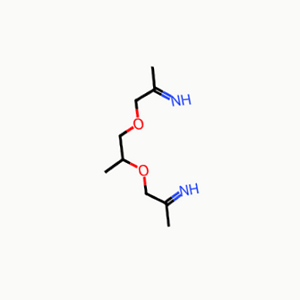 CC(=N)COCC(C)OCC(C)=N